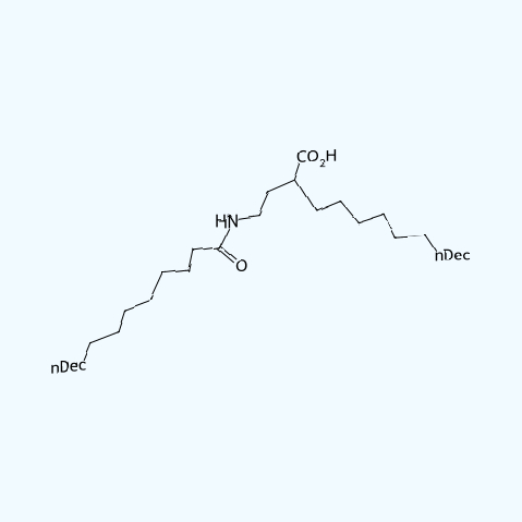 CCCCCCCCCCCCCCCCCC(=O)NCCC(CCCCCCCCCCCCCCCC)C(=O)O